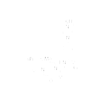 CCCC(OC)C(=O)N1CC(=O)C2C1CCN2C(=O)C(CC(C)C)NC(=O)c1ccc(N2CCN(C)CC2)cc1